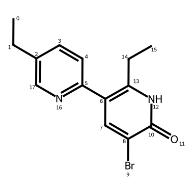 CCc1ccc(-c2cc(Br)c(=O)[nH]c2CC)nc1